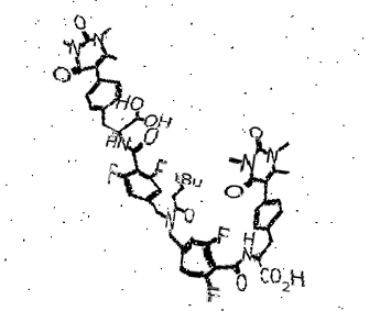 Cc1c(-c2ccc(C[C@H](NC(=O)c3c(F)cc(CN(Cc4cc(F)c(C(=O)N[C@@H](Cc5ccc(-c6c(C)n(C)c(=O)n(C)c6=O)cc5)C(O)O)c(F)c4)C(=O)CCC(C)(C)C)cc3F)C(=O)O)cc2)c(=O)n(C)c(=O)n1C